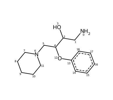 NCC(O)C(CN1CCCCC1)Oc1ccccc1